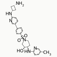 Cc1ccc(N[C@@H]2CCN(S(=O)(=O)c3ccc(-c4ccc(N[C@H]5C[C@@H](N)C5)nc4)cc3)C[C@@H]2O)nc1